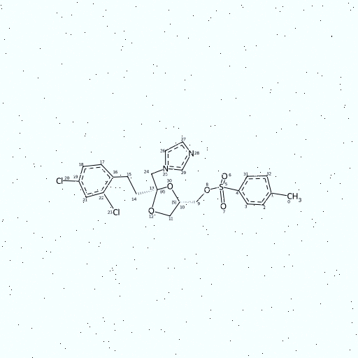 Cc1ccc(S(=O)(=O)OC[C@@H]2CO[C@@](CCc3ccc(Cl)cc3Cl)(Cn3ccnc3)O2)cc1